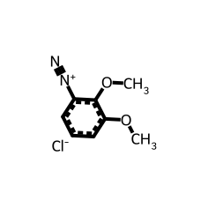 COc1cccc([N+]#N)c1OC.[Cl-]